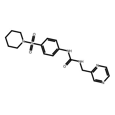 O=C(NCc1cnccn1)Nc1ccc(S(=O)(=O)N2CCCCC2)cc1